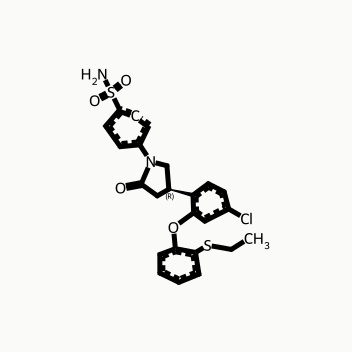 CCSc1ccccc1Oc1cc(Cl)ccc1[C@H]1CC(=O)N(c2ccc(S(N)(=O)=O)cc2)C1